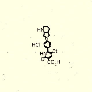 CCc1cc(C(=O)O)c(=O)[nH]c1-c1ccc(N2CC3CCCNC3C2)cc1.Cl